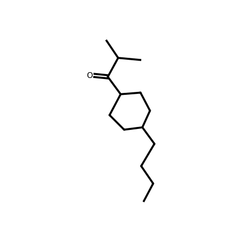 CCCCC1CCC(C(=O)C(C)C)CC1